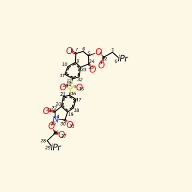 CC(C)CC(=O)OC1CC(=O)c2ccc(S(=O)(=O)c3ccc4c(c3)C(=O)N(OC(=O)CC(C)C)C4=O)cc2C1=O